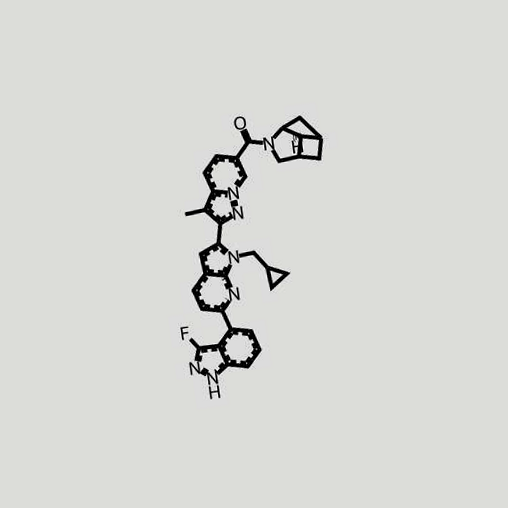 Cc1c(-c2cc3ccc(-c4cccc5[nH]nc(F)c45)nc3n2CC2CC2)nn2cc(C(=O)N3CC4CC5CC3[C@H]54)ccc12